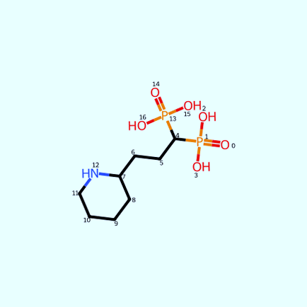 O=P(O)(O)C(CCC1CCCCN1)P(=O)(O)O